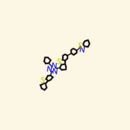 c1ccc(-c2nc(-c3ccc4c(c3)sc3ccccc34)nc(-c3cccc4c3sc3ccc(-c5ccc(-c6nc7ccccc7s6)cc5)cc34)n2)cc1